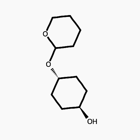 O[C@H]1CC[C@H](OC2CCCCO2)CC1